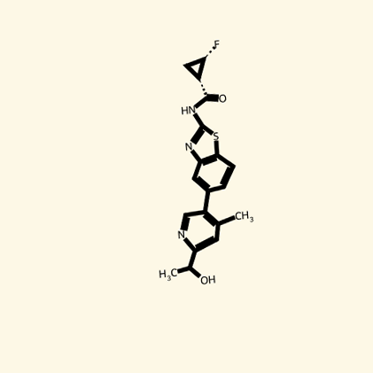 Cc1cc(C(C)O)ncc1-c1ccc2sc(NC(=O)[C@@H]3C[C@@H]3F)nc2c1